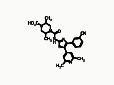 Cc1cc(-c2sc(NC(=O)N3CC(C)N(C(=O)O)CC3C)nc2-c2cccc(C#N)c2)cc(C)n1